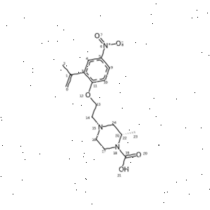 C=C(C)c1cc([N+](=O)[O-])ccc1OCCN1CCN(C(=O)O)[C@@H](C)C1